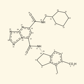 Cc1c(C(=O)O)ccc2c1CC[C@@H]2NC(=O)c1cc(C(=O)NCC2CCCCC2)nc2ncnn12